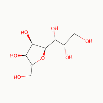 OC[C]1O[C@H]([C@H](O)[C@@H](O)CO)[C@H](O)[C@@H]1O